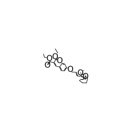 CCOC(=O)C(=Cc1ccc(OCC=C[Si]2(OC)CCCCO2)cc1)C(=O)OCC